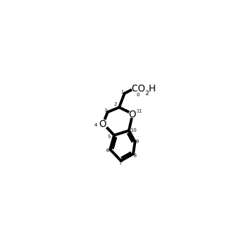 O=C(O)CC1COc2ccccc2O1